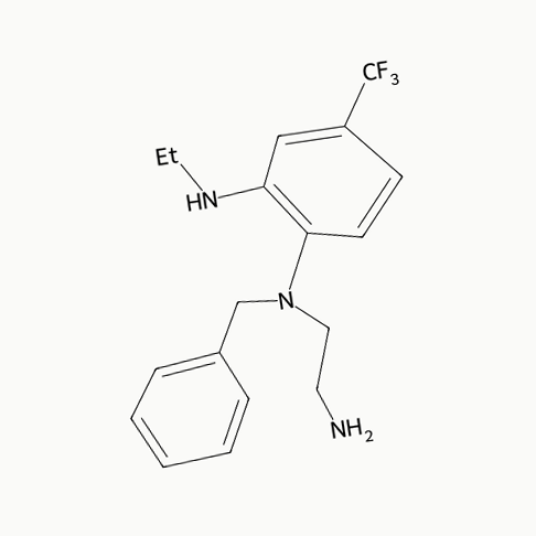 CCNc1cc(C(F)(F)F)ccc1N(CCN)Cc1ccccc1